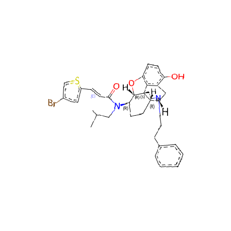 CC(C)CN(C(=O)/C=C/c1cc(Br)cs1)[C@@H]1CC[C@H]2[C@H]3Cc4c(O)ccc5c4[C@@]2(CCN3CCc2ccccc2)[C@H]1O5